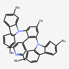 Cc1cc(-c2c(-n3c4cc(C(C)(C)C)ccc4c4ccc(C(C)(C)C)cc43)cc(C#N)cc2-n2c3cc(C(C)(C)C)ccc3c3ccc(C(C)(C)C)cc32)cc(C)n1